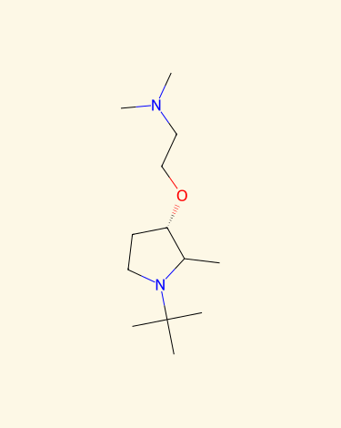 CC1[C@@H](OCCN(C)C)CCN1C(C)(C)C